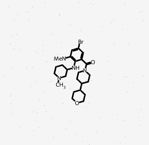 CNc1cc(Br)cc(C(=O)N2CCC(C3CCOCC3)CC2)c1NC1CCCN(C)C1